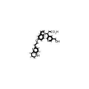 O=C(O)C[C@@H](c1cncc(CO)c1)n1ncc2cc(OCCc3ccc4c(n3)CCCN4)ccc21